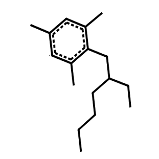 CCCCC(CC)Cc1c(C)[c]c(C)cc1C